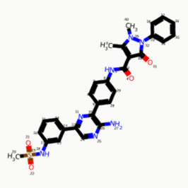 Cc1c(C(=O)Nc2ccc(-c3nc(-c4cccc(NS(C)(=O)=O)c4)cnc3N)cc2)c(=O)n(-c2ccccc2)n1C